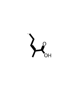 [CH2]CC=C(C)C(=O)O